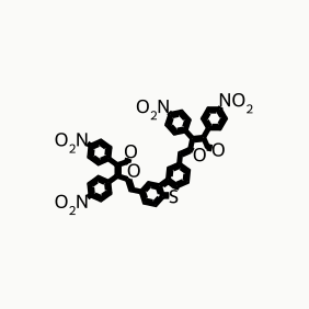 O=C1OC(=Cc2ccc3sc4ccc(C=C5OC(=O)C(c6ccc([N+](=O)[O-])cc6)=C5c5ccc([N+](=O)[O-])cc5)cc4c3c2)C(c2ccc([N+](=O)[O-])cc2)=C1c1ccc([N+](=O)[O-])cc1